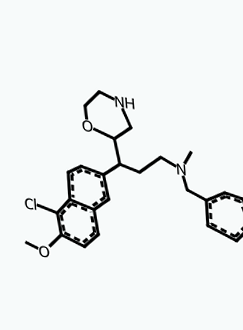 COc1ccc2cc(C(CCN(C)Cc3ccccc3)C3CNCCO3)ccc2c1Cl